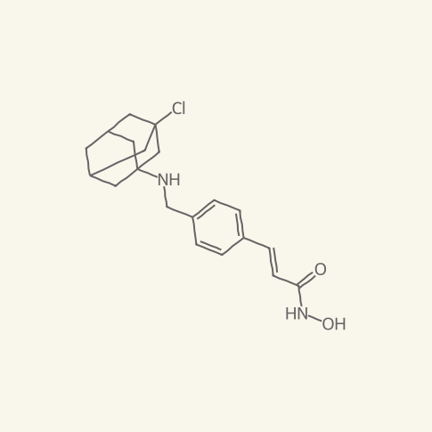 O=C(C=Cc1ccc(CNC23CC4CC(CC(Cl)(C4)C2)C3)cc1)NO